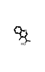 Cc1c(C(C)O)cnc2ccccc12